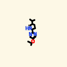 CC(C)Oc1cnc(C2CCC(C(C)C)[CH]N2)nc1